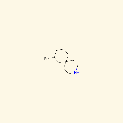 CC(C)C1CCCC2(CCNCC2)C1